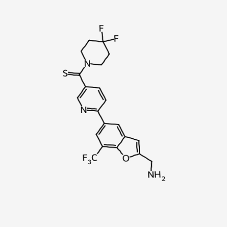 NCc1cc2cc(-c3ccc(C(=S)N4CCC(F)(F)CC4)cn3)cc(C(F)(F)F)c2o1